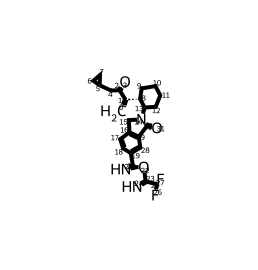 C=C(C(=O)CC1CC1)[C@@H]1CCCCC1N1Cc2ccc(C(=N)OC(=N)C(F)F)cc2C1=O